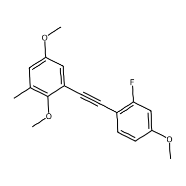 COc1ccc(C#Cc2cc(OC)cc(C)c2OC)c(F)c1